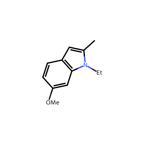 CCn1c(C)cc2ccc(OC)cc21